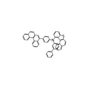 c1ccc(-c2cccc(N(c3ccc(-c4cc5ccc6ccccc6c5c5ccccc45)cc3)c3cccc4sc5ccc6ccccc6c5c34)c2)cc1